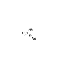 B.[Fe].[Nb].[Nd]